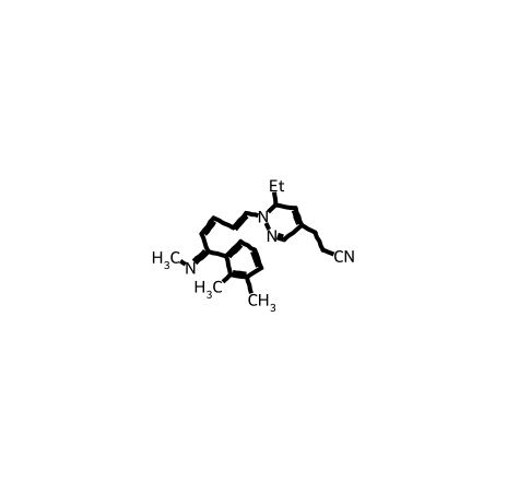 CCC1C=C(CCC#N)C=NN1/C=C/C=C\C(=N/C)c1cccc(C)c1C